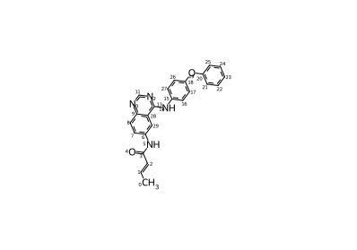 CC=CC(=O)Nc1ccc2ncnc(Nc3ccc(Oc4ccccc4)cc3)c2c1